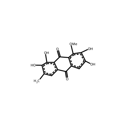 COc1c(O)c(O)cc2c1C(=O)c1c(cc(C)c(O)c1O)C2=O